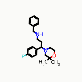 CC1(C)CN(C(CCNCc2ccccc2)c2ccc(F)cc2)CCO1